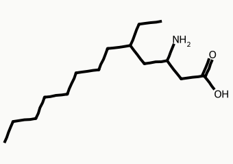 CCCCCCCCC(CC)CC(N)CC(=O)O